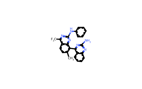 Cc1ccc2c(C(F)(F)F)nc(Nc3ccccc3)nc2c1-c1nc(N)nc2ccccc12